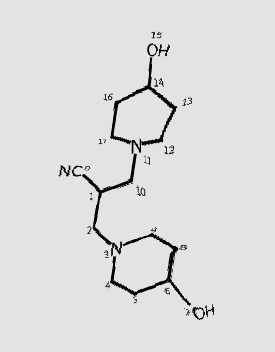 N#CC(CN1CCC(O)CC1)CN1CCC(O)CC1